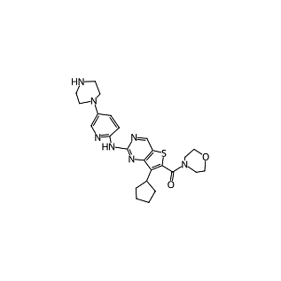 O=C(c1sc2cnc(Nc3ccc(N4CCNCC4)cn3)nc2c1C1CCCC1)N1CCOCC1